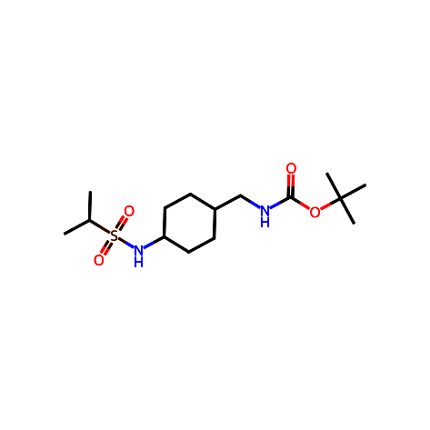 CC(C)S(=O)(=O)NC1CCC(CNC(=O)OC(C)(C)C)CC1